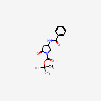 CC(C)(C)OC(=O)N1CC(NC(=O)c2ccccc2)CC1=O